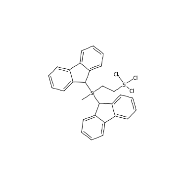 C[Si](CC[Si](Cl)(Cl)Cl)(C1c2ccccc2-c2ccccc21)C1c2ccccc2-c2ccccc21